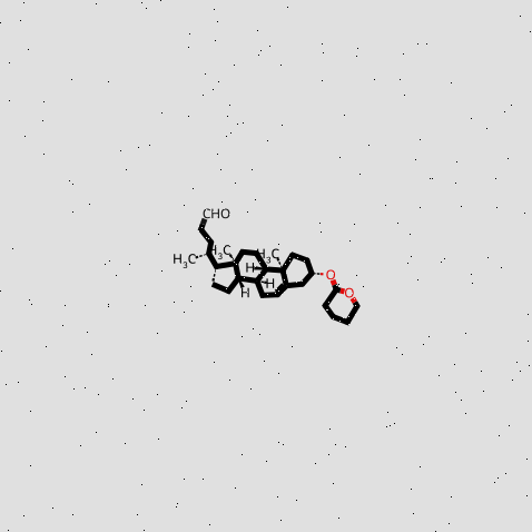 C[C@H](CCC=O)[C@H]1CC[C@H]2[C@@H]3CC=C4C[C@@H](OC5CCCCO5)CC[C@]4(C)[C@H]3CC[C@]12C